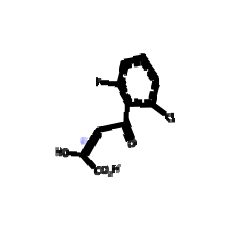 O=C(O)/C(O)=C\C(=O)c1c(F)cccc1Cl